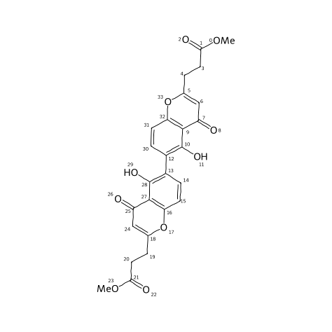 COC(=O)CCc1cc(=O)c2c(O)c(-c3ccc4oc(CCC(=O)OC)cc(=O)c4c3O)ccc2o1